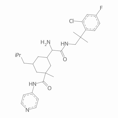 CC(C)CC1CC(C(N)C(=O)NCC(C)(C)c2ccc(F)cc2Cl)CC(C)(C(=O)Nc2ccncc2)C1